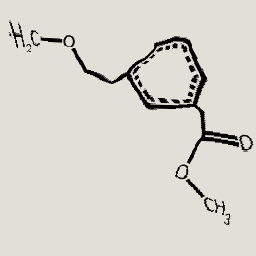 [CH2]OCc1cccc(C(=O)OC)c1